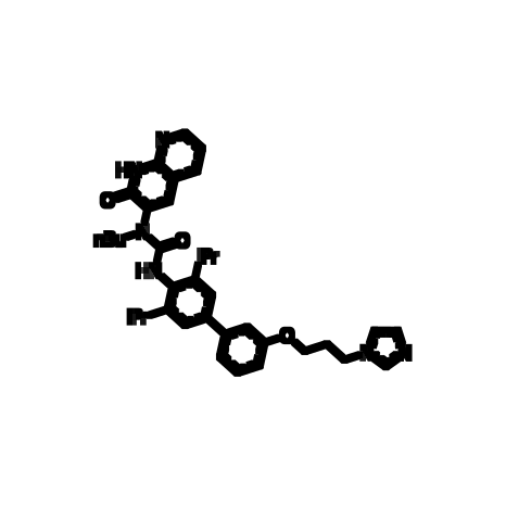 CCCCN(C(=O)Nc1c(C(C)C)cc(-c2cccc(OCCCn3ccnc3)c2)cc1C(C)C)c1cc2cccnc2[nH]c1=O